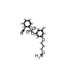 Cc1cc(OCCCON)cc(OS(=O)(=O)c2ccccc2C#N)c1